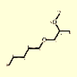 CCCCCOCC(C)OC